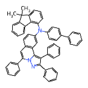 CC1(C)c2ccccc2-c2c(N(c3ccc(-c4ccccc4)cc3)c3ccc4cc(-c5ccccc5)n5nc(-c6ccccc6)c(-c6ccccc6)c5c4c3)cccc21